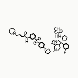 COC(=O)N[C@H]1CCC[C@@H]1C(CN1CCC1)(c1cccc(F)c1)C1CCN(C[C@@H]2CCN(c3ccc(S(=O)(=O)c4cccc(NC(=O)/C=C/CN5CCCCC5)c4)cc3)C2)CC1